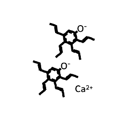 CC=Cc1cc([O-])c(C=CC)c(C=CC)c1C=CC.CC=Cc1cc([O-])c(C=CC)c(C=CC)c1C=CC.[Ca+2]